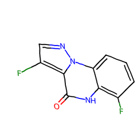 O=c1[nH]c2c(F)cccc2n2ncc(F)c12